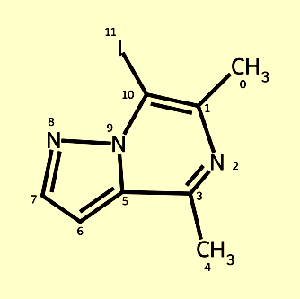 Cc1nc(C)c2ccnn2c1I